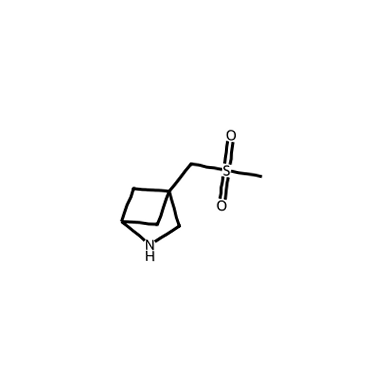 CS(=O)(=O)CC12CNC(C1)C2